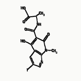 CC(NC(=O)c1c(O)c2cc(I)cnc2n(C)c1=O)C(=O)O